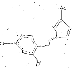 CC(=O)C1=C/C(=C\c2ccc(Cl)cc2Cl)C=C1